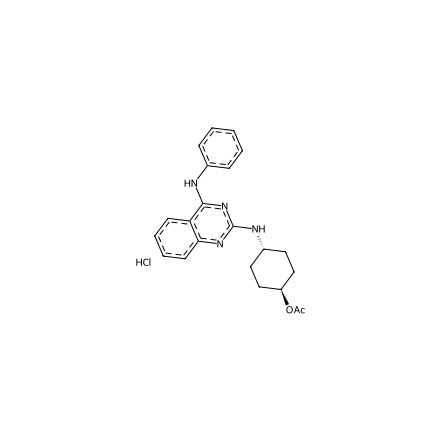 CC(=O)O[C@H]1CC[C@H](Nc2nc(Nc3ccccc3)c3ccccc3n2)CC1.Cl